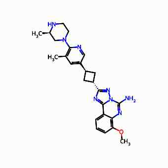 COc1cccc2c1nc(N)n1nc([C@H]3C[C@H](c4cnc(N5CCN[C@H](C)C5)c(C)c4)C3)nc21